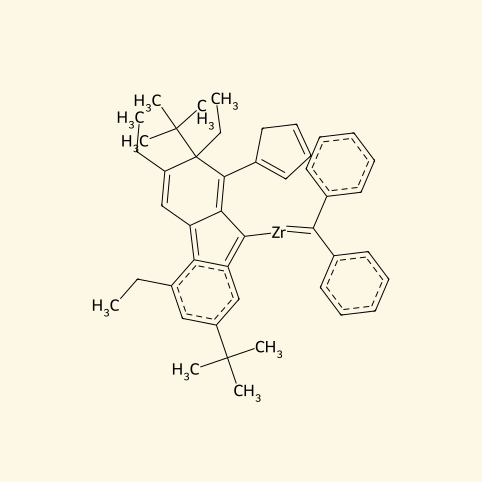 CCC1=CC2=c3c(CC)cc(C(C)(C)C)cc3=[C]([Zr]=[C](c3ccccc3)c3ccccc3)C2=C(C2=CC=CC2)C1(CC)C(C)(C)C